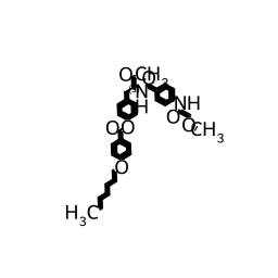 CCCCCCCOc1ccc(C(=O)Oc2ccc(C[C@H](NC(=O)c3ccc(NC(=O)COC)cc3)C(C)=O)cc2)cc1